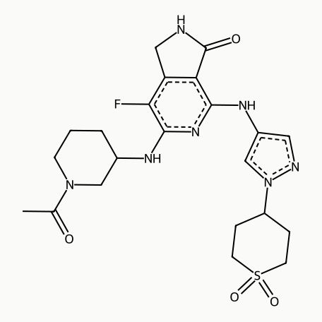 CC(=O)N1CCCC(Nc2nc(Nc3cnn(C4CCS(=O)(=O)CC4)c3)c3c(c2F)CNC3=O)C1